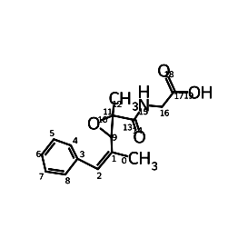 C/C(=C/c1ccccc1)C1OC1(C)C(=O)NCC(=O)O